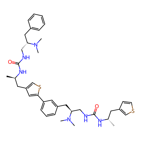 C[C@H](Cc1csc(-c2cccc(C[C@@H](CNC(=O)N[C@@H](C)Cc3ccsc3)N(C)C)c2)c1)NC(=O)NC[C@H](Cc1ccccc1)N(C)C